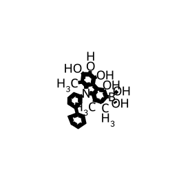 Cc1c(B(O)O)c(O)c2c3c(O)c(O)c(O)c(C)c3n(-c3cccc(-c4ccccc4)c3)c2c1C